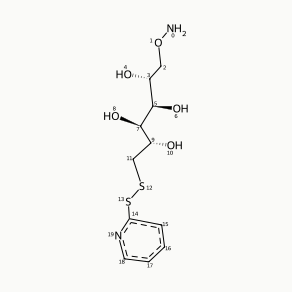 NOC[C@@H](O)[C@@H](O)[C@H](O)[C@H](O)CSSc1ccccn1